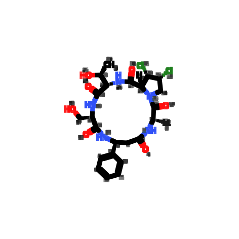 CC[C@@H]1NC(=O)C[C@@H](c2ccccc2)NC(=O)[C@H](CO)NC(=O)[C@H]([C@H](C)O)NC(=O)[C@@H]2[C@H](Cl)[C@H](Cl)CN2C1=O